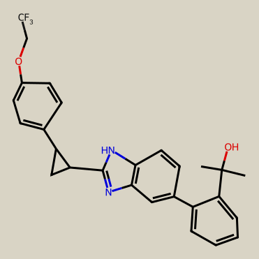 CC(C)(O)c1ccccc1-c1ccc2[nH]c(C3CC3c3ccc(OCC(F)(F)F)cc3)nc2c1